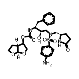 Nc1ccc(S(=O)(=O)N(C[C@@H]2CCC(=O)N2)C[C@@H](O)[C@H](Cc2ccccc2)NC(=O)OC2CO[C@H]3OCC[C@@H]23)cc1